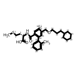 CSCC[C@H](NC(=O)c1ccc(COCCCC2CCCCC2)cc1-c1ccccc1C)C(=O)O.[Li]